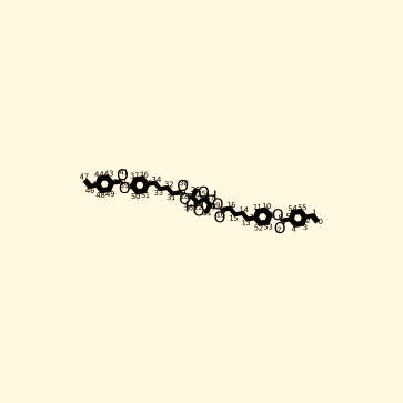 C=Cc1ccc(C(=O)Oc2ccc(CCCCC(=O)O[C@H]3CO[C@H]4[C@@H]3OC[C@H]4OC(=O)CCCCc3ccc(OC(=O)c4ccc(C=C)cc4)cc3)cc2)cc1